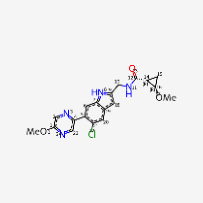 COc1cnc(-c2cc3[nH]c(CNC(=O)[C@@H]4C[C@H]4OC)cc3cc2Cl)cn1